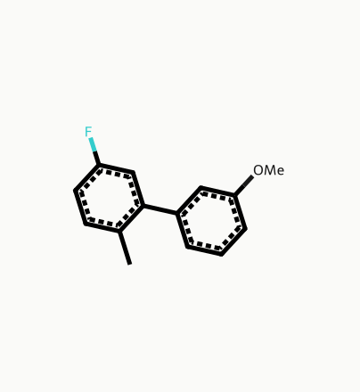 COc1cccc(-c2cc(F)ccc2C)c1